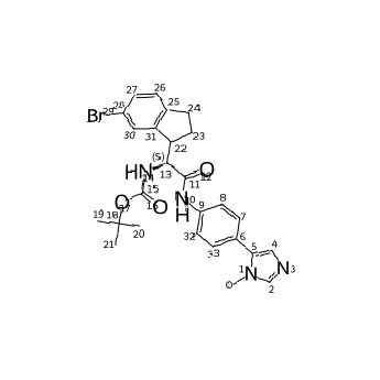 Cn1cncc1-c1ccc(NC(=O)[C@@H](NC(=O)OC(C)(C)C)C2CCc3ccc(Br)cc32)cc1